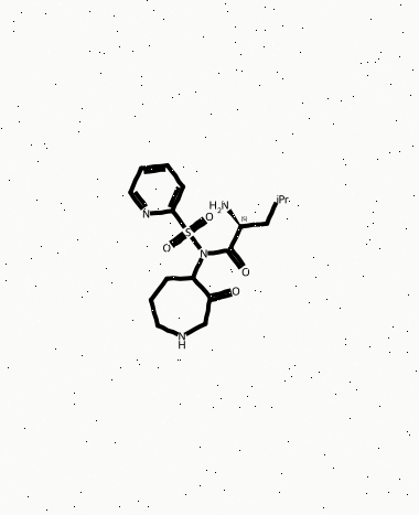 CC(C)C[C@H](N)C(=O)N(C1CCCNCC1=O)S(=O)(=O)c1ccccn1